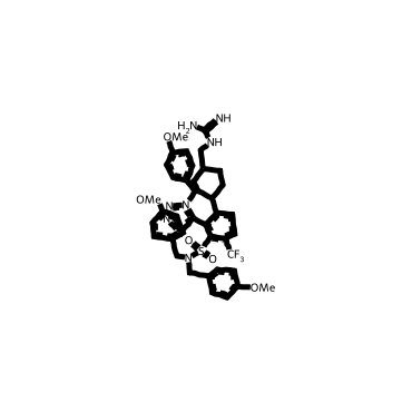 COc1ccc(CN(Cc2ccc(OC)cc2)S(=O)(=O)c2c(C(F)(F)F)ccc(C3CCC(CNC(=N)N)CC3)c2-c2nnnn2Cc2ccc(OC)cc2)cc1